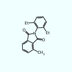 CCc1cccc(CC)c1N1C(=O)c2cccc(C)c2C1=O